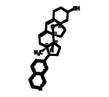 C[C@]12CC=C3C=C4CCC(O)C[C@]45CC[C@]3(O5)[C@@H]1CCC2c1ccc2ccncc2c1